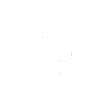 c1ccc(-c2cc(-c3ccccc3)nc(-c3cccc4oc5ccc(-c6nc(-c7ccccc7)c7oc8ccccc8c7n6)cc5c34)n2)cc1